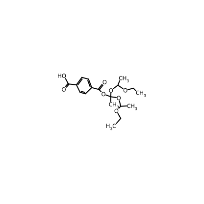 CCOC(C)OC(C)(OC(=O)c1ccc(C(=O)O)cc1)OC(C)OCC